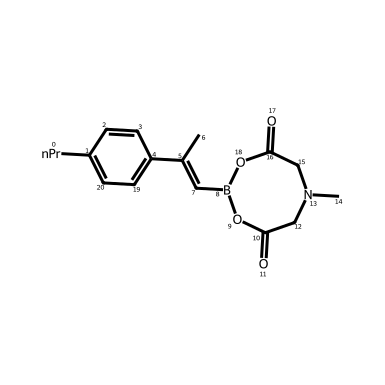 CCCc1ccc(/C(C)=C/B2OC(=O)CN(C)CC(=O)O2)cc1